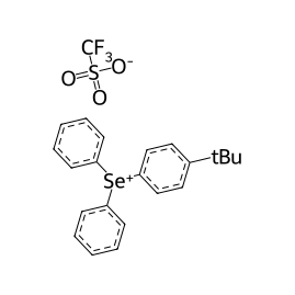 CC(C)(C)c1ccc([Se+](c2ccccc2)c2ccccc2)cc1.O=S(=O)([O-])C(F)(F)F